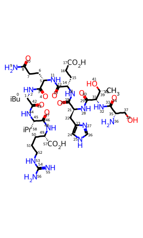 CC[C@H](C)[C@H](NC(=O)[C@H](CCC(N)=O)NC(=O)[C@H](CCC(=O)O)NC(=O)[C@H](Cc1c[nH]cn1)NC(=O)[C@@H](NC(=O)[C@@H](N)CO)[C@@H](C)O)C(=O)N[C@H](C(=O)N[C@@H](CCCNC(=N)N)C(=O)O)C(C)C